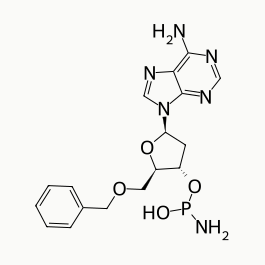 Nc1ncnc2c1ncn2[C@H]1C[C@H](OP(N)O)[C@@H](COCc2ccccc2)O1